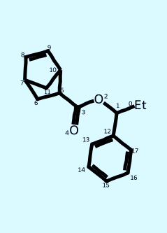 CCC(OC(=O)C1CC2C=CC1C2)c1ccccc1